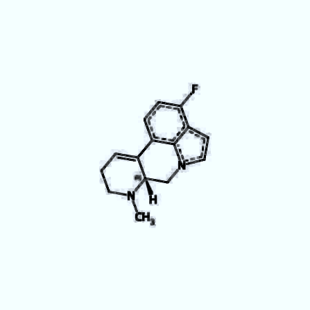 CN1CCC=C2c3ccc(F)c4ccn(c34)C[C@@H]21